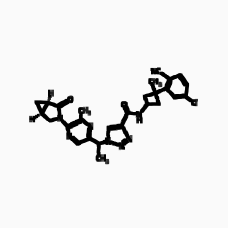 Cc1nc(C(C)n2cc(C(=O)NC3CC(C)(c4cc(Cl)ccc4C#N)C3)nn2)cnc1N1C[C@H]2C[C@H]2C1=O